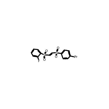 CC(C)c1ccc(S(=O)(=O)/C=C/S(=O)(=O)c2ccccc2F)cc1